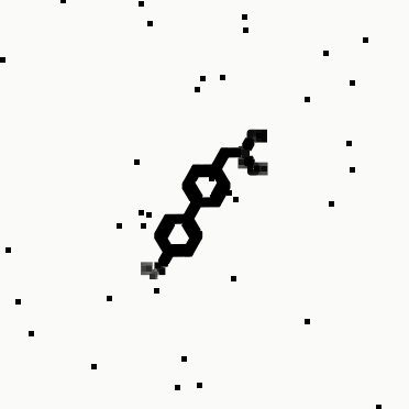 Nc1ccc(-c2ccc(C[SiH](O)O)cc2)cc1